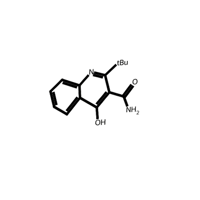 CC(C)(C)c1nc2ccccc2c(O)c1C(N)=O